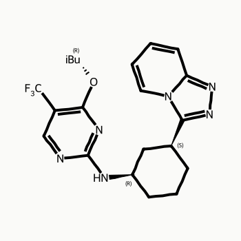 CC[C@@H](C)Oc1nc(N[C@@H]2CCC[C@H](c3nnc4ccccn34)C2)ncc1C(F)(F)F